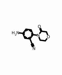 N#Cc1cc(N)ccc1N1CCOCC1=O